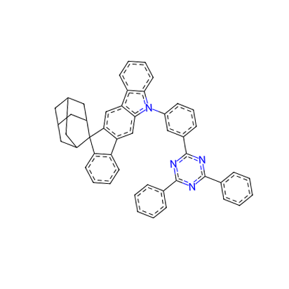 c1ccc(-c2nc(-c3ccccc3)nc(-c3cccc(-n4c5ccccc5c5cc6c(cc54)-c4ccccc4C64C5CC6CC(C5)CC4C6)c3)n2)cc1